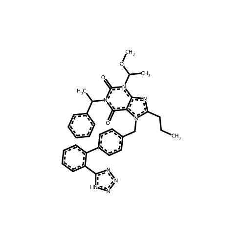 CCCc1nc2c(c(=O)n(C(C)c3ccccc3)c(=O)n2C(C)OC)n1Cc1ccc(-c2ccccc2-c2nnn[nH]2)cc1